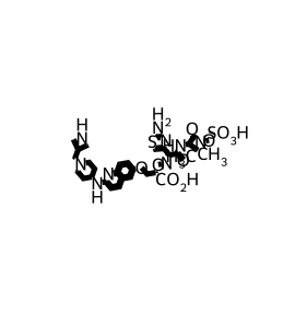 CC1(C)C(NC(=O)C(=NOC(COc2ccc3nc(NC4CCN(CC5CNC5)CC4)ccc3c2)C(=O)O)c2csc(N)n2)C(=O)N1OS(=O)(=O)O